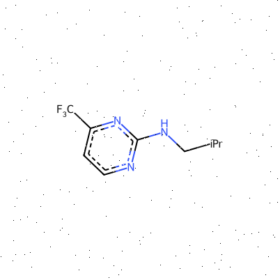 CC(C)CNc1nccc(C(F)(F)F)n1